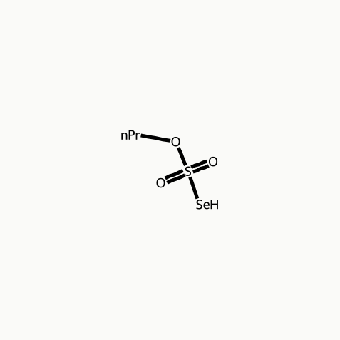 CCCOS(=O)(=O)[SeH]